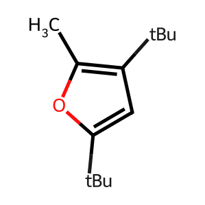 Cc1oc(C(C)(C)C)cc1C(C)(C)C